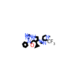 CN1CCc2c(ncn2-c2ccnc(C(=O)N(c3ccccc3)c3nnc[nH]3)c2C2CC2)C1C(F)(F)F